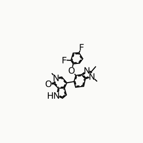 Cc1nc2c(Oc3ccc(F)cc3F)c(-c3cn(C)c(=O)c4[nH]ccc34)ccc2n1C